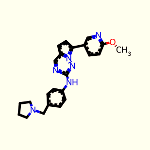 COc1ccc(-c2ccc3cnc(Nc4ccc(CN5CCCC5)cc4)nn23)cn1